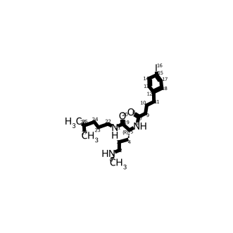 CNCCC[C@@H](NC(=O)CCCc1ccc(I)cc1)C(=O)NCCCC(C)C